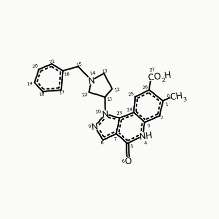 Cc1cc2[nH]c(=O)c3cnn(C4CCN(Cc5ccccc5)C4)c3c2cc1C(=O)O